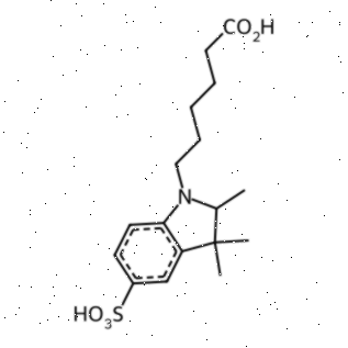 CC1N(CCCCCC(=O)O)c2ccc(S(=O)(=O)O)cc2C1(C)C